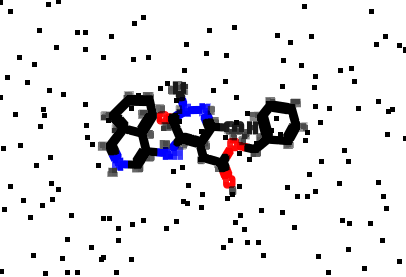 CCn1nc(C(=O)O)c(CC(=O)OCc2ccccc2)c(Nc2cncc3ccccc23)c1=O